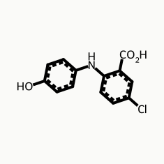 O=C(O)c1cc(Cl)ccc1Nc1ccc(O)cc1